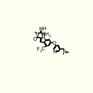 CN(C)Cc1cncc(Oc2cc(C(F)(F)F)c3cc(C(=O)N(C)C(=N)N)[nH]c3c2)c1